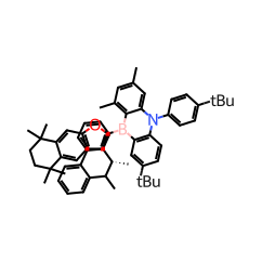 Cc1cc(C)c2c(c1)N(c1ccc(C(C)(C)C)cc1)c1ccc(C(C)(C)C)cc1B2c1oc2cc3c(cc2c1[C@H](C)C(C)c1ccccc1-c1ccccc1)C(C)(C)CCC3(C)C